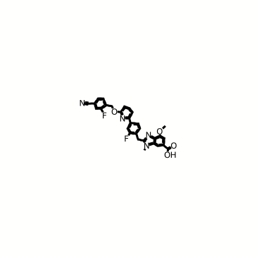 COc1cc(C(=O)O)cc2c1nc(Cc1ccc(-c3cccc(OCc4ccc(C#N)cc4F)n3)cc1F)n2C